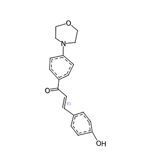 O=C(/C=C/c1ccc(O)cc1)c1ccc(N2CCOCC2)cc1